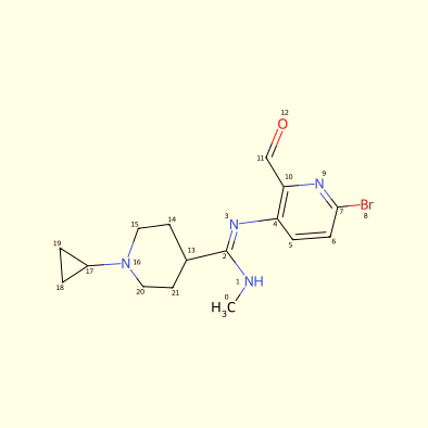 CN/C(=N\c1ccc(Br)nc1C=O)C1CCN(C2CC2)CC1